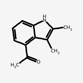 CC(=O)c1cccc2[nH]c(C)c(C)c12